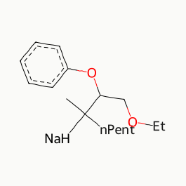 CCCCCC(C)(C)C(COCC)Oc1ccccc1.[NaH]